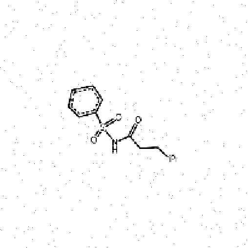 CC(C)CCC(=O)NS(=O)(=O)c1ccccc1